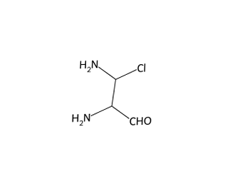 NC(Cl)C(N)C=O